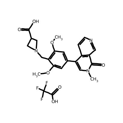 COc1cc(-c2cn(C)c(=O)c3cnccc23)cc(OC)c1CN1CC(C(=O)O)C1.O=C(O)C(F)(F)F